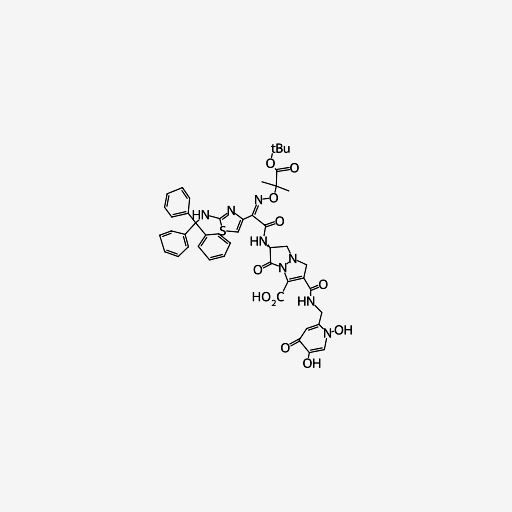 CC(C)(C)OC(=O)C(C)(C)O/N=C(\C(=O)N[C@H]1CN2CC(C(=O)NCc3cc(=O)c(O)cn3O)=C(C(=O)O)N2C1=O)c1csc(NC(c2ccccc2)(c2ccccc2)c2ccccc2)n1